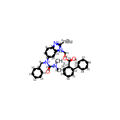 CCCCc1nc2ccc(N(Cc3ccccc3)C(=O)N(C)C)cc2n1COC(=O)c1ccccc1-c1ccccc1